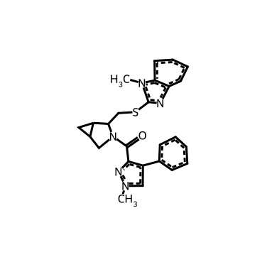 Cn1cc(-c2ccccc2)c(C(=O)N2CC3CC3C2CSc2nc3ccccc3n2C)n1